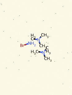 CN(C)C.CN(C)C.NBr